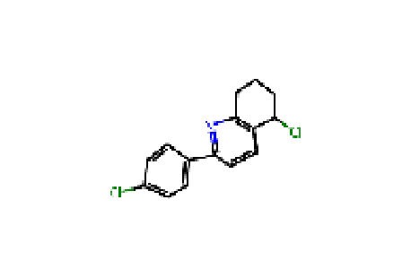 Clc1ccc(-c2ccc3c(n2)CCCC3Cl)cc1